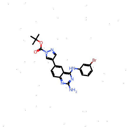 CC(C)(C)OC(=O)n1cc(-c2ccc3nc(N)nc(Nc4cccc(Br)c4)c3c2)cn1